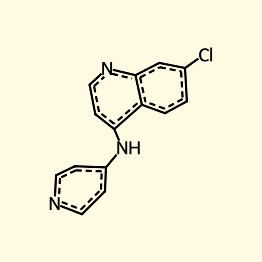 Clc1ccc2c(Nc3ccncc3)ccnc2c1